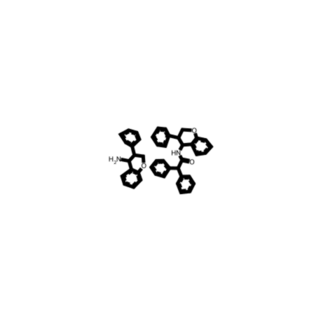 NC1c2ccccc2OCC1c1ccccc1.O=C(NC1c2ccccc2OCC1c1ccccc1)C(c1ccccc1)c1ccccc1